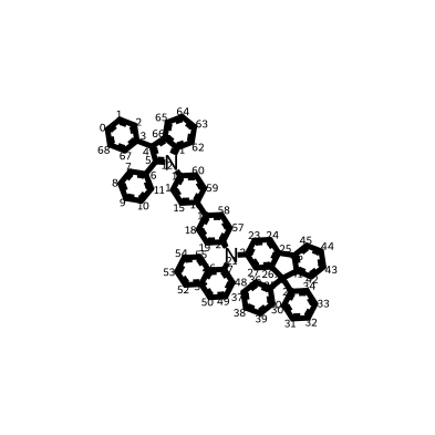 c1ccc(-c2c(-c3ccccc3)n(-c3ccc(-c4ccc(N(c5ccc6c(c5)C(c5ccccc5)(c5ccccc5)c5ccccc5-6)c5cccc6ccccc56)cc4)cc3)c3ccccc23)cc1